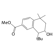 COC(=O)c1ccc2c(c1)C(C(C)(C)C)C(O)CC2(C)C